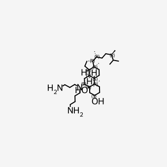 CC(C)[C@H](C)CC[C@@H](C)[C@H]1CC[C@H]2[C@@H]3C[C@@H](N(CCCN)CCCCN)[C@@]4(O)C[C@@H](O)CC[C@]4(C)[C@H]3CC[C@]12C